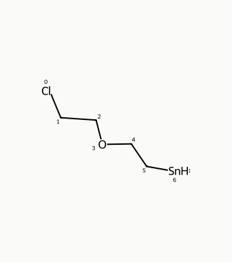 ClCCOC[CH2][SnH]